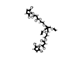 C=COCC(COC=C)(COCCOC(=O)CC(=O)ON1C(=O)CCC1=O)COCCOC(=O)CC(=O)ON1C(=O)CCC1=O